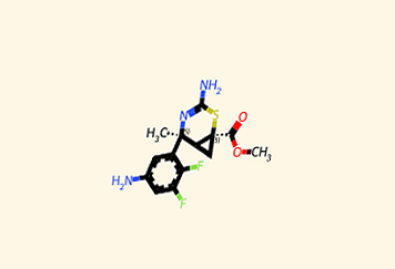 COC(=O)[C@]12CC1[C@@](C)(c1cc(N)cc(F)c1F)N=C(N)S2